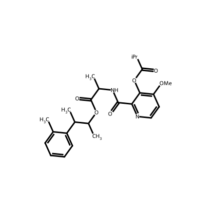 COc1ccnc(C(=O)NC(C)C(=O)OC(C)C(C)c2ccccc2C)c1OC(=O)C(C)C